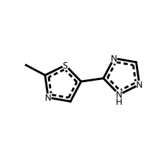 Cc1ncc(-c2ncn[nH]2)s1